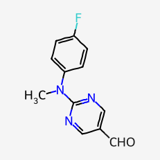 CN(c1ccc(F)cc1)c1ncc(C=O)cn1